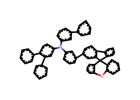 c1ccc(-c2cccc(N(c3cccc(-c4ccc5c(c4)C4(c6ccccc6Oc6ccccc64)c4ccccc4-5)c3)c3ccc(-c4ccccc4)c(-c4ccccc4)c3)c2)cc1